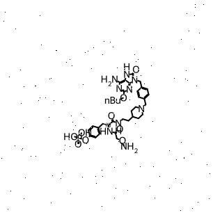 CCCCOc1nc(N)c2[nH]c(=O)n(Cc3ccc(CN4CCC(CCNC(=O)[C@H](Cc5ccc(OP(=O)(O)O)cc5)NC(=O)CON)CC4)cc3)c2n1